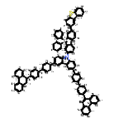 c1ccc([Si]2(c3ccccc3)c3cc(-c4ccc5sc6ccccc6c5c4)ccc3-c3ccc(-n4c5ccc(-c6ccc(-c7ccc(-c8cc9ccccc9c9ccccc89)cc7)cc6)cc5c5cc(-c6ccc(-c7ccc(-c8cc9ccccc9c9ccccc89)cc7)cc6)ccc54)cc32)cc1